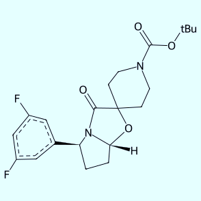 CC(C)(C)OC(=O)N1CCC2(CC1)O[C@@H]1CC[C@@H](c3cc(F)cc(F)c3)N1C2=O